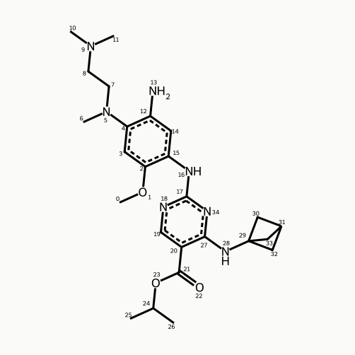 COc1cc(N(C)CCN(C)C)c(N)cc1Nc1ncc(C(=O)OC(C)C)c(NC23CC(C2)C3)n1